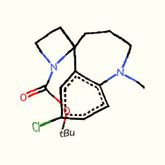 CN1CCCC2(CCN2C(=O)OC(C)(C)C)c2cc(Cl)ccc21